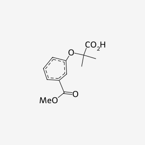 COC(=O)c1cccc(OC(C)(C)C(=O)O)c1